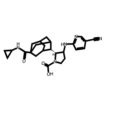 N#Cc1ccc(NC2CCN(C(=O)O)[C@@H]2C2C3CC4CC2CC(C(=O)NC2CC2)(C4)C3)nc1